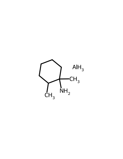 CC1CCCCC1(C)N.[AlH3]